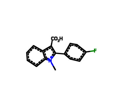 Cn1c(-c2ccc(F)cc2)c(C(=O)O)c2ccccc21